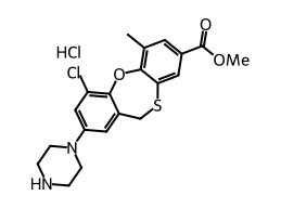 COC(=O)c1cc(C)c2c(c1)SCc1cc(N3CCNCC3)cc(Cl)c1O2.Cl